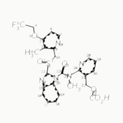 Cc1c(OCC(F)(F)F)ccnc1C[S+]([O-])c1nc2ccccc2n1C(=O)N(C)c1ncccc1COC(=O)O